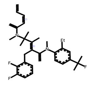 C=C/C=C\C(=C)N(C)C(C)(C)/C(C)=C(\Cc1cccc(F)c1F)C(=C)N(C)c1ccc(C(C)(C)F)cc1CC